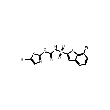 CCc1cccc2cc(S(=O)(=O)NC(=O)Nc3ncc(Br)s3)sc12